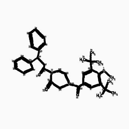 COc1c(C(C)(C)C)cc(C(=O)N2CCN(C(=O)CC(c3ccccc3)c3ccccc3)C(=O)C2)cc1C(C)(C)C